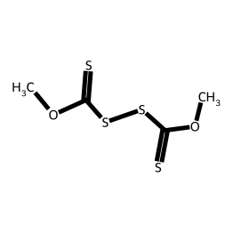 COC(=S)SSC(=S)OC